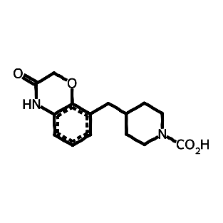 O=C1COc2c(CC3CCN(C(=O)O)CC3)cccc2N1